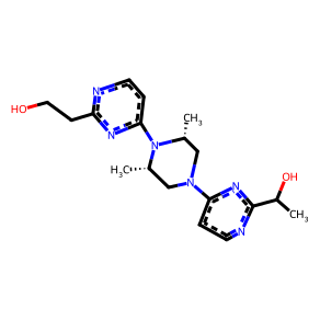 CC(O)c1nccc(N2C[C@@H](C)N(c3ccnc(CCO)n3)[C@@H](C)C2)n1